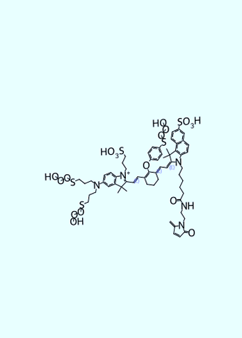 C=C1C=CC(=O)N1CCNC(=O)CCCCCN1/C(=C/C=C2\CCCC(/C=C/C3=[N+](CCCS(=O)(=O)O)c4ccc(N(CCCSOOO)CCCSOOO)cc4C3(C)C)=C2Oc2ccc(SOOO)cc2)C(C)(C)c2c1ccc1cc(S(=O)(=O)O)ccc21